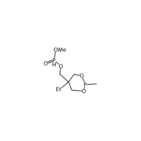 CCC1(CO[PH](=O)OC)COP(C)OC1